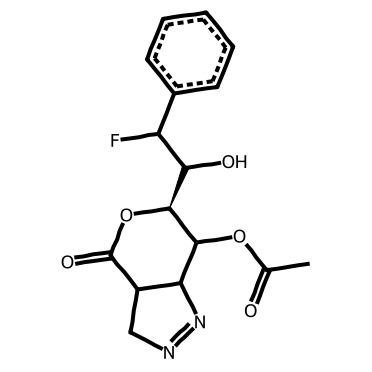 CC(=O)OC1C2N=NCC2C(=O)O[C@H]1C(O)C(F)c1ccccc1